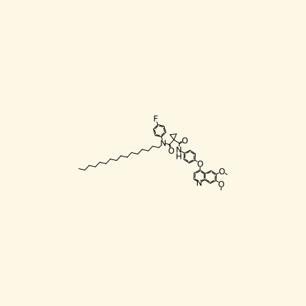 CCCCCCCCCCCCCCCCN(C(=O)C1(C(=O)Nc2ccc(Oc3ccnc4cc(OC)c(OC)cc34)cc2)CC1)c1ccc(F)cc1